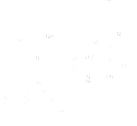 CC(C)(NC(=O)C(CS(=O)(=O)Cc1ccccc1)C1CN(C(N)=O)CCO1)C(=O)c1nc2ccccc2o1